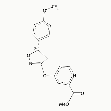 COC(=O)c1cc(OC2=NO[C@H](c3ccc(OC(F)(F)F)cc3)C2)ccn1